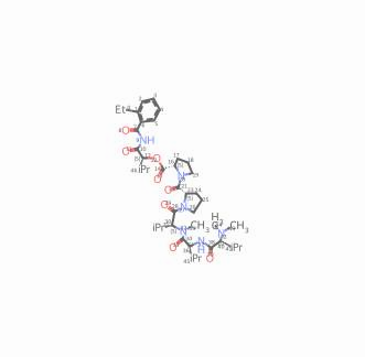 CCc1ccccc1C(=O)NC(=O)[C@@H](OC(=O)[C@@H]1CCCN1C(=O)[C@@H]1CCCN1C(=O)[C@H](C(C)C)N(C)C(=O)[C@@H](NC(=O)[C@H](C(C)C)N(C)C)C(C)C)C(C)C